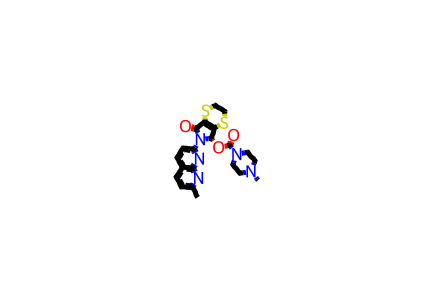 Cc1ccc2ccc(N3C(=O)C4=C(SCCS4)C3OC(=O)N3CCN(C)CC3)nc2n1